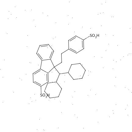 O=S(=O)(O)c1ccc(CCC2(C(C3CCCCC3)C3CCCCC3)c3ccccc3-c3ccc(S(=O)(=O)O)cc32)cc1